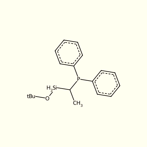 CC([SiH2]OC(C)(C)C)P(c1ccccc1)c1ccccc1